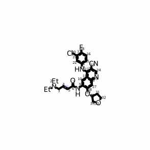 CCN(CC)C/C=C/C(=O)Nc1cc2c(Nc3ccc(F)c(Cl)c3)c(C#N)cnc2cc1O[C@H]1CCOC1